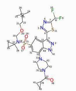 Cn1nc(-c2nnc(C(F)F)s2)c2cc(S(=O)(=O)N(COCC[Si](C)(C)C)C3(C)CC3)cc(N3CCN(C(=O)C4CC4)CC3)c21